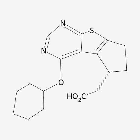 O=C(O)C[C@H]1CCc2sc3ncnc(OC4CCCCC4)c3c21